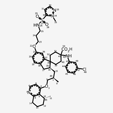 C[C@@H](COc1ccnc2c1[C@H](C)CCC2)C[C@H]1Cc2ccc(OCCCNS(=O)(=O)c3ccnn3C)cc2C12CCC(Nc1cccc(Cl)c1)(C(=O)O)CC2